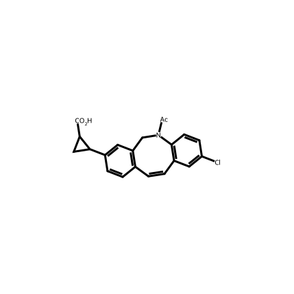 CC(=O)N1Cc2cc(C3CC3C(=O)O)ccc2/C=C\c2cc(Cl)ccc21